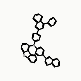 c1ccc(-c2cc(-c3ccc(N(c4ccc(-c5ccc6ccccc6c5)cc4)c4cccc5sc6ccccc6c45)cc3)cc3ccccc23)cc1